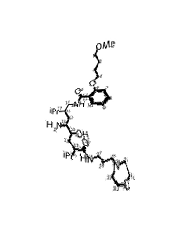 COCCCCOc1ccccc1C(=O)NCC(CC(N)C(O)CC(C(=O)NCCCN1CCOCC1)C(C)C)C(C)C